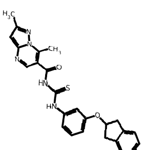 Cc1cc2ncc(C(=O)NC(=S)Nc3cccc(OC4Cc5ccccc5C4)c3)c(C)n2n1